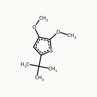 COc1cc(C(C)(C)C)sc1OC